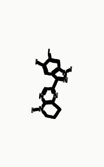 Ic1cc2c(-c3cnc4c(n3)CCCN4I)nn(I)c2cc1I